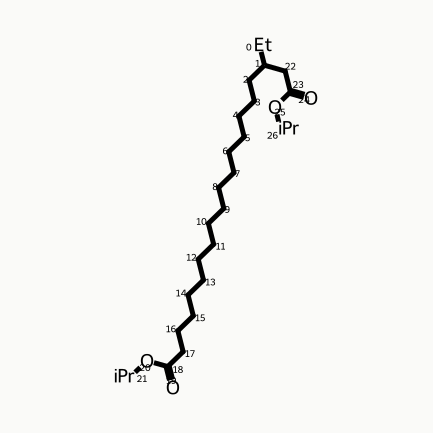 CCC(CCCCCCCCCCCCCCCCC(=O)OC(C)C)CC(=O)OC(C)C